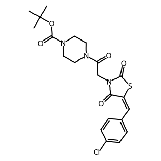 CC(C)(C)OC(=O)N1CCN(C(=O)CN2C(=O)SC(=Cc3ccc(Cl)cc3)C2=O)CC1